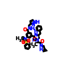 C[C@H](NC[C@H](Cc1ccccc1)NC(=O)c1cc(C(=O)NCc2cc[nH]n2)cc(N(C)S(=O)(=O)c2ccccc2)c1)C(=O)NCC1CC1